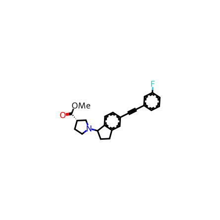 COC(=O)[C@H]1CCN(C2CCc3cc(C#Cc4cccc(F)c4)ccc32)C1